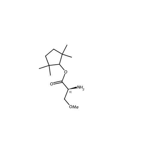 COC[C@H](N)C(=O)OC1C(C)(C)CCC1(C)C